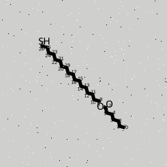 CCCCCCC(=O)OCCCCCCCCCCCCCCCCCCS